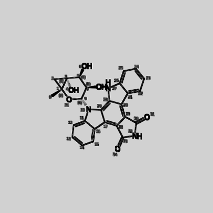 C[C@@]12C[C@@]1(O)[C@@H](O)[C@@H](O)[C@H](n1c3ccccc3c3c4c(c5c6ccccc6[nH]c5c31)C(=O)NC4=O)O2